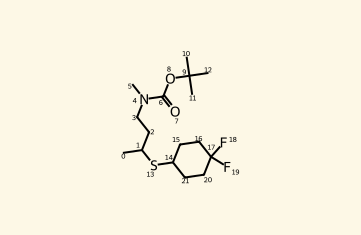 CC(CCN(C)C(=O)OC(C)(C)C)SC1CCC(F)(F)CC1